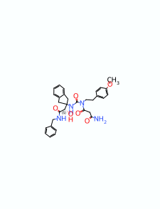 COc1ccc(CCN(C(=O)CC(N)=O)C(=O)NC2([C@H](O)C(=O)NCc3ccccc3)Cc3ccccc3C2)cc1